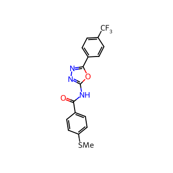 CSc1ccc(C(=O)Nc2nnc(-c3ccc(C(F)(F)F)cc3)o2)cc1